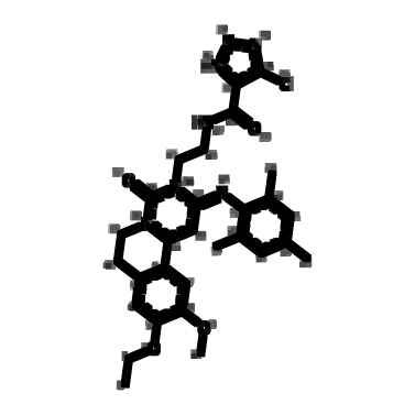 CCOc1cc2c(cc1OC)-c1c/c(=N\c3c(C)cc(C)cc3C)n(CCNC(=O)c3[nH]nnc3Cl)c(=O)n1CC2